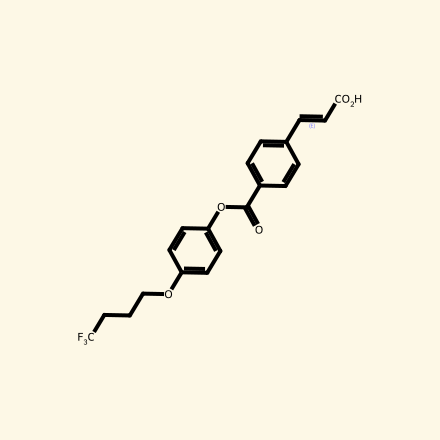 O=C(O)/C=C/c1ccc(C(=O)Oc2ccc(OCCCC(F)(F)F)cc2)cc1